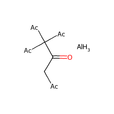 CC(=O)CC(=O)C(C(C)=O)(C(C)=O)C(C)=O.[AlH3]